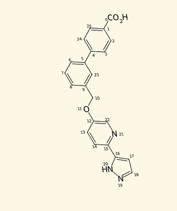 O=C(O)c1ccc(-c2cccc(COc3ccc(-c4ccn[nH]4)nc3)c2)cc1